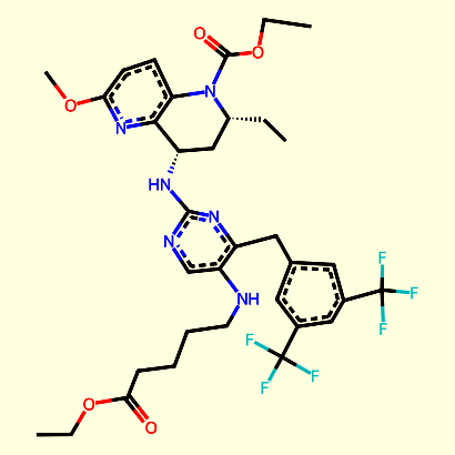 CCOC(=O)CCCCNc1cnc(N[C@H]2C[C@@H](CC)N(C(=O)OCC)c3ccc(OC)nc32)nc1Cc1cc(C(F)(F)F)cc(C(F)(F)F)c1